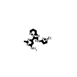 CCn1ccc(Nc2nc3cccnn3c2-c2cc(N)nc(C)n2)n1